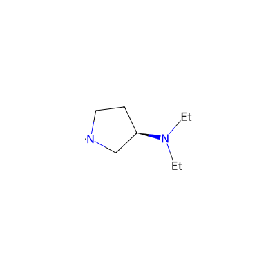 CCN(CC)[C@@H]1CC[N]C1